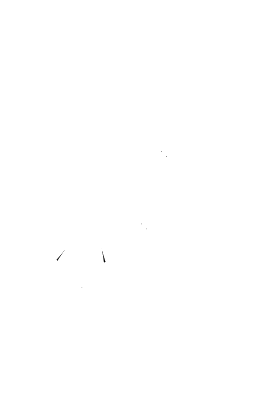 CCOC(=O)CN1C(=O)[C@@H](NC(=O)[C@@H](SC(C)=O)[C@@H](C)c2ccccc2)CCc2ccccc21